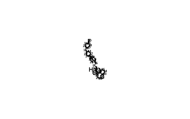 O=S(=O)(NCCCN1CCN(c2ccc(Cc3ccc(F)cc3)cc2)CC1)C1CCCOc2ccccc21